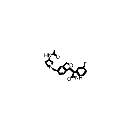 CC(=O)NC1CCN(Cc2ccc3c(c2)COC3=C2C(=O)Nc3ccc(F)cc32)C1